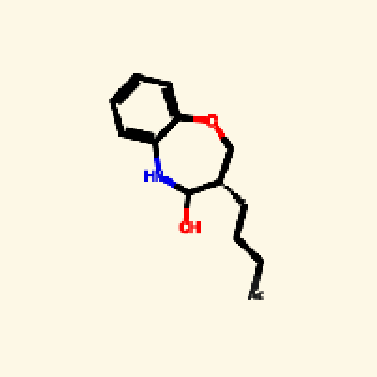 CC(=O)CCC[C@H]1COc2ccccc2NC1O